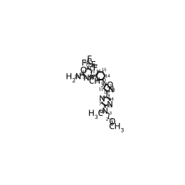 COCCN(C)c1cnc(-c2cc(-c3ccc(F)c([C@]4(C)C[C@@H](C(F)(F)F)OC(N)=N4)c3)on2)cn1